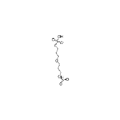 O=[SH](=O)OCCCOCCCOS(=O)(=O)O